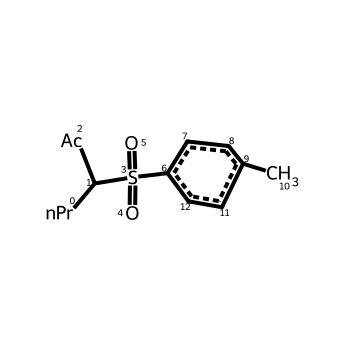 CCCC(C(C)=O)S(=O)(=O)c1ccc(C)cc1